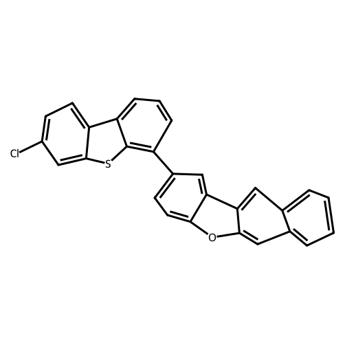 Clc1ccc2c(c1)sc1c(-c3ccc4oc5cc6ccccc6cc5c4c3)cccc12